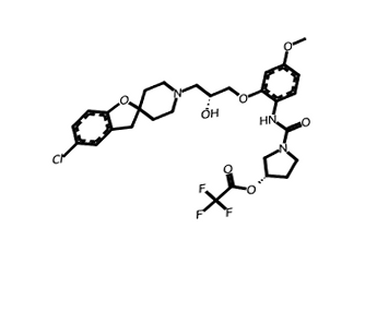 COc1ccc(NC(=O)N2CC[C@H](OC(=O)C(F)(F)F)C2)c(OC[C@H](O)CN2CCC3(CC2)Cc2cc(Cl)ccc2O3)c1